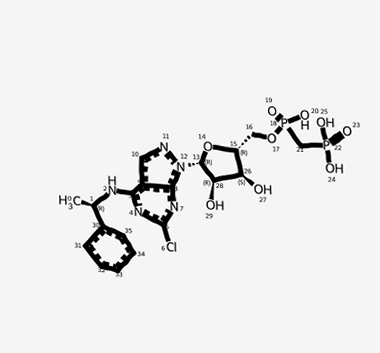 C[C@@H](Nc1nc(Cl)nc2c1cnn2[C@@H]1O[C@H](COP(=O)(O)CP(=O)(O)O)[C@@H](O)[C@H]1O)c1ccccc1